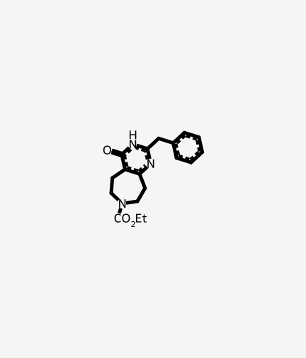 CCOC(=O)N1CCc2nc(Cc3ccccc3)[nH]c(=O)c2CC1